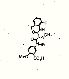 COc1ccc(N(C(=O)N(N=N)C(=O)Nc2c(F)cccc2F)C(C)C)cc1C(=O)O